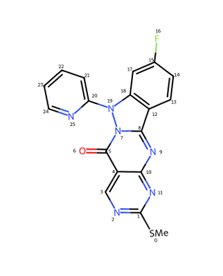 CSc1ncc2c(=O)n3c(nc2n1)c1ccc(F)cc1n3-c1ccccn1